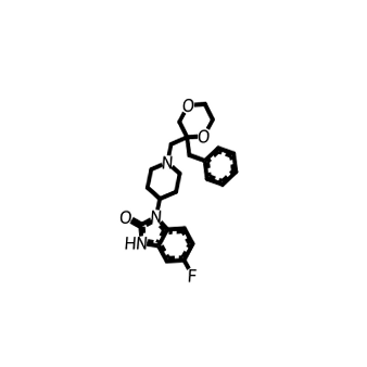 O=c1[nH]c2cc(F)ccc2n1C1CCN(CC2(Cc3ccccc3)COCCO2)CC1